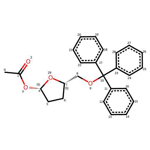 CC(=O)O[C@H]1CC[C@@H](COC(c2ccccc2)(c2ccccc2)c2ccccc2)O1